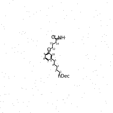 CCCCCCCCCCCCCCCc1cccc(OCCCC([NH])=O)c1